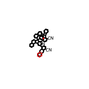 N#Cc1cc2c(c3c1C1c4ccccc4C3c3ccccc31)c1cc3c(c4c5c6c(c(C#N)cc5n2c14)C1c2ccccc2C12c1ccccc1C62)C(c1ccccc1)(c1ccccc1)c1ccc2ccccc2c1-3